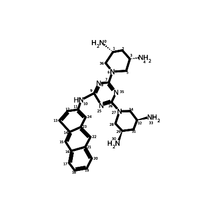 N[C@@H]1C[C@H](N)CN(c2nc(Nc3ccc4cc5ccccc5cc4c3)nc(N3C[C@H](N)C[C@H](N)C3)n2)C1